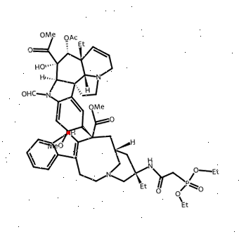 CCOP(=O)(CC(=O)N[C@@]1(CC)C[C@@H]2CN(CCc3c([nH]c4ccccc34)[C@@](C(=O)OC)(C3C=C4C(=CC3OC)N(C=O)[C@H]3[C@@](O)(C(=O)OC)[C@H](OC(C)=O)[C@]5(CC)C=CCN6CC[C@]43[C@@H]65)C2)C1)OCC